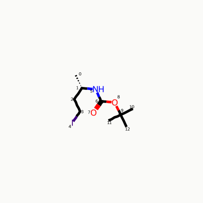 C[C@@H](CCI)NC(=O)OC(C)(C)C